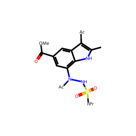 CCCS(=O)(=O)NN(C(C)=O)c1cc(C(=O)OC)cc2c(C(C)=O)c(C)[nH]c12